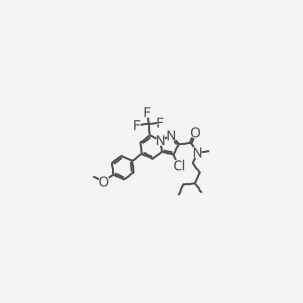 CCC(C)CCN(C)C(=O)c1nn2c(C(F)(F)F)cc(-c3ccc(OC)cc3)cc2c1Cl